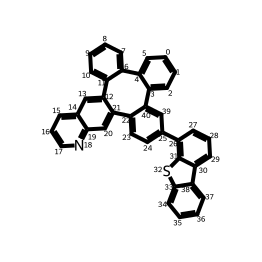 c1ccc2c(c1)-c1ccccc1-c1cc3cccnc3cc1-c1ccc(-c3cccc4c3sc3ccccc34)cc1-2